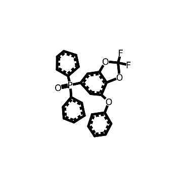 O=P(c1ccccc1)(c1ccccc1)c1cc(Oc2ccccc2)c2c(c1)OC(F)(F)O2